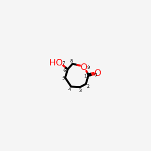 O=C1CCCCC(O)CO1